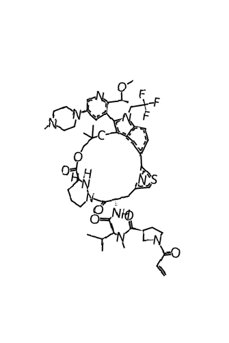 C=CC(=O)N1CC[C@H](C(=O)N(C)C(C(=O)N[C@H]2Cc3csc(n3)-c3ccc4c(c3)c(c(-c3cc(N5CCN(C)CC5)cnc3[C@H](C)OC)n4CC(F)(F)F)CC(C)(C)COC(=O)[C@@H]3CCCN(N3)C2=O)C(C)C)C1